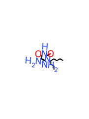 CCCCC(CCC)n1c(N)c(N)c(=O)[nH]c1=O